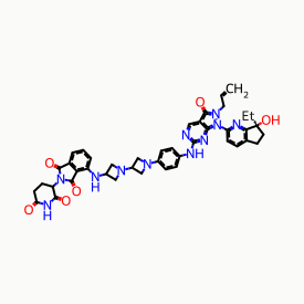 C=CCn1c(=O)c2cnc(Nc3ccc(N4CC(N5CC(Nc6cccc7c6C(=O)N(C6CCC(=O)NC6=O)C7=O)C5)C4)cc3)nc2n1-c1ccc2c(n1)[C@@](O)(CC)CC2